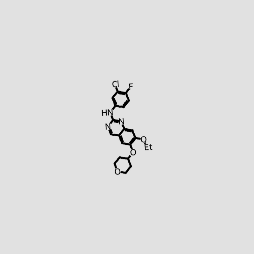 CCOc1cc2nc(Nc3ccc(F)c(Cl)c3)ncc2cc1OC1CCOCC1